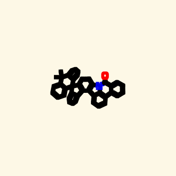 CC1(C)c2ccccc2C2(c3ccccc3-c3c2ccc2c3c3cccc4c5ccccc5c(=O)n2c43)c2ccccc21